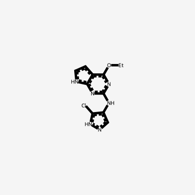 CCOc1nc(Nc2cn[nH]c2Cl)nc2[nH]ccc12